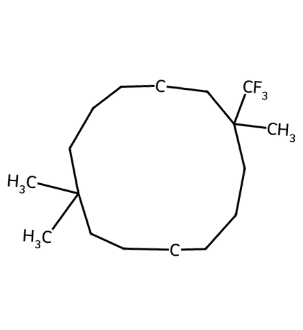 CC1(C)CCCCCCC(C)(C(F)(F)F)CCCCC1